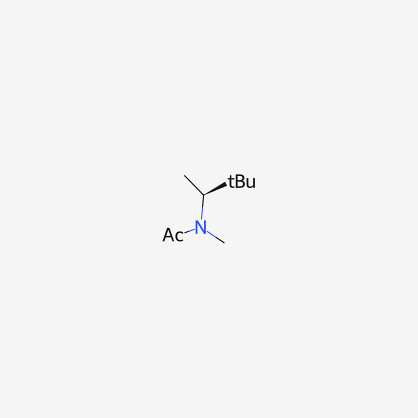 CC(=O)N(C)[C@@H](C)C(C)(C)C